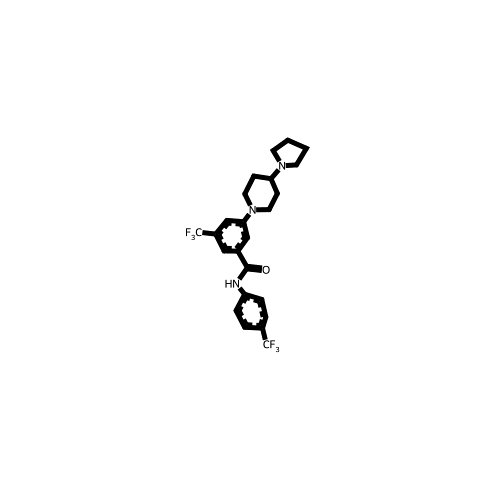 O=C(Nc1ccc(C(F)(F)F)cc1)c1cc(N2CCC(N3CCCC3)CC2)cc(C(F)(F)F)c1